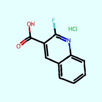 Cl.O=C(O)c1cc2ccccc2nc1F